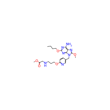 CCCCOc1nc(N)c2nc(OC)n(Cc3ccc(OCCCNCC(=O)OC)nc3)c2n1